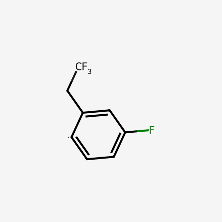 Fc1cc[c]c(CC(F)(F)F)c1